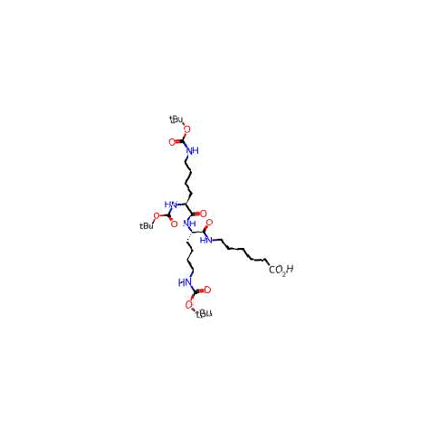 CC(C)(C)OC(=O)NCCCC[C@H](NC(=O)OC(C)(C)C)C(=O)N[C@@H](CCCCNC(=O)OC(C)(C)C)C(=O)NCCCCCC(=O)O